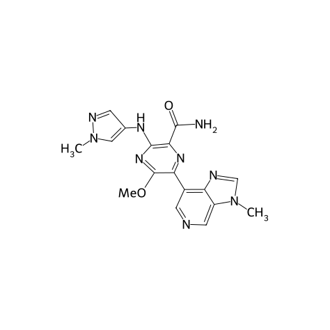 COc1nc(Nc2cnn(C)c2)c(C(N)=O)nc1-c1cncc2c1ncn2C